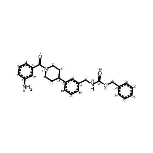 Nc1cccc(C(=O)N2CCC(c3cccc(CNC(=O)OCc4ccccc4)c3)CC2)c1